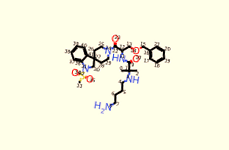 CC(C)(NCCCCN)C(=O)NC(COCc1ccccc1)C(=O)N1CCC2(CC1)CN(S(C)(=O)=O)c1ccccc12